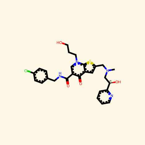 CN(Cc1cc2c(=O)c(C(=O)NCc3ccc(Cl)cc3)cn(CCCO)c2s1)C[C@@H](O)c1ccccn1